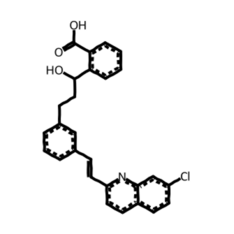 O=C(O)c1ccccc1C(O)CCc1cccc(C=Cc2ccc3ccc(Cl)cc3n2)c1